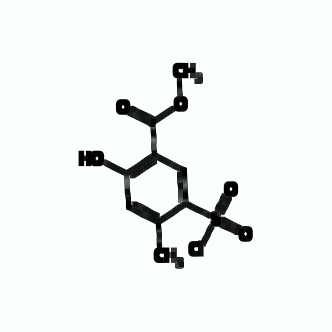 COC(=O)c1cc(S(=O)(=O)Cl)c(C)cc1O